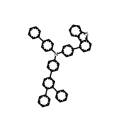 c1ccc(-c2ccc(N(c3ccc(-c4ccc(-c5ccccc5)c(-c5ccccc5)c4)cc3)c3ccc(-c4cccc5sc6ccccc6c45)cc3)cc2)cc1